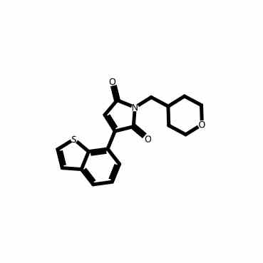 O=C1C=C(c2cccc3ccsc23)C(=O)N1CC1CCOCC1